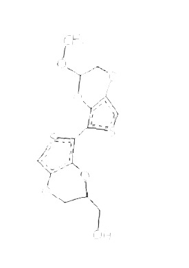 COC1COc2csc(-c3scc4c3OC(CO)CO4)c2O1